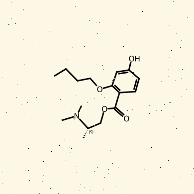 CCCCOc1cc(O)ccc1C(=O)OC[C@H](C)N(C)C